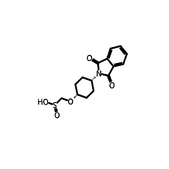 O=C1c2ccccc2C(=O)N1[C@H]1CC[C@@H](OCS(=O)O)CC1